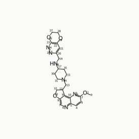 COc1ccc2ncc3c(c2n1)C(CN1CCC(NCc2cc4c(nn2)OCCO4)CC1)CO3